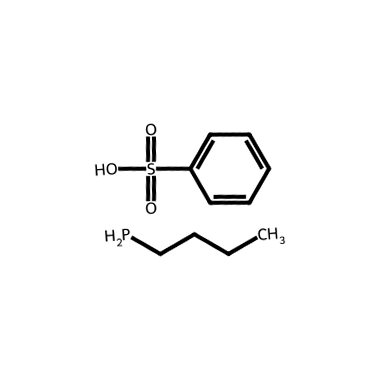 CCCCP.O=S(=O)(O)c1ccccc1